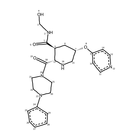 O=C(NCO)[C@H]1C[C@H](Oc2ccncc2)CN[C@@H]1C(=O)N1CCN(c2ccccc2)CC1